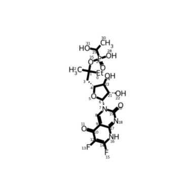 CCC(C)(C[C@H]1O[C@@H](n2cc3c(=O)c(F)c(F)[nH]c3nc2=O)[C@@H](O)C1O)OP(=O)(O)C(C)O